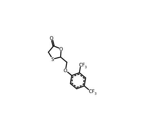 O=C1CSC(COc2ccc(C(F)(F)F)cc2C(F)(F)F)O1